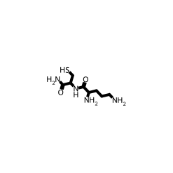 NCCCC(N)C(=O)NC(CS)C(N)=O